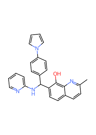 Cc1ccc2ccc(C(Nc3ccccn3)c3ccc(-n4cccc4)cc3)c(O)c2n1